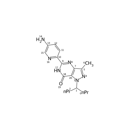 CCCC(CCC)n1nc(C)c2nc(-c3ccc(N)cn3)[nH]c(=O)c21